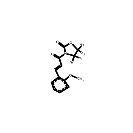 [2H]C1([2H])OC(=O)N(C(=O)/C=C/c2ccccc2OC)C1([2H])[2H]